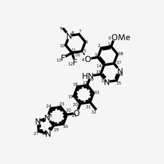 COC1=CC(O[C@H]2CCN(C)CC2(F)F)=C2C(Nc3ccc(Oc4ccn5ncnc5c4)c(C)c3)=NC=NC2C1